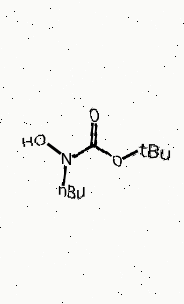 CCCCN(O)C(=O)OC(C)(C)C